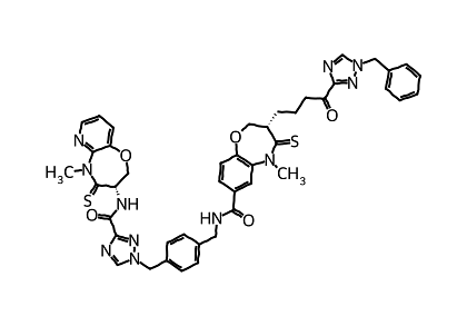 CN1C(=S)[C@@H](CCCC(=O)c2ncn(Cc3ccccc3)n2)COc2ccc(C(=O)NCc3ccc(Cn4cnc(C(=O)N[C@H]5COc6cccnc6N(C)C5=S)n4)cc3)cc21